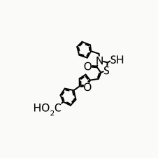 O=C(O)c1ccc(-c2ccc(/C=C3/SC(S)N(Cc4ccccc4)C3=O)o2)cc1